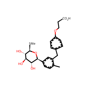 CS[C@H]1O[C@@H](c2ccc(C)c(Cc3ccc(OCCC(=O)O)cc3)c2)[C@H](O)[C@@H](O)[C@@H]1O